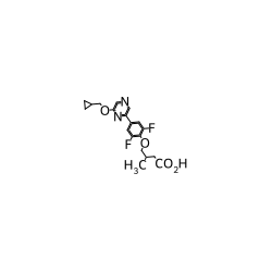 CC(COc1c(F)cc(-c2cncc(OCC3CC3)n2)cc1F)CC(=O)O